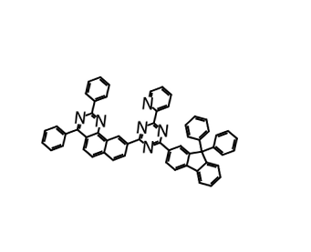 c1ccc(-c2nc(-c3ccccc3)c3ccc4ccc(-c5nc(-c6ccc7c(c6)C(c6ccccc6)(c6ccccc6)c6ccccc6-7)nc(-c6ccccn6)n5)cc4c3n2)cc1